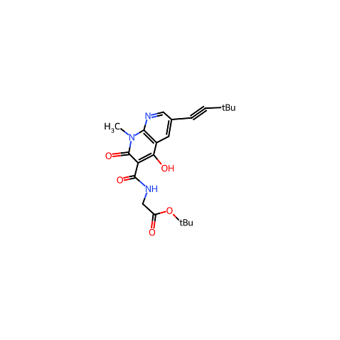 Cn1c(=O)c(C(=O)NCC(=O)OC(C)(C)C)c(O)c2cc(C#CC(C)(C)C)cnc21